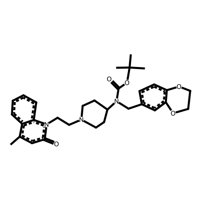 Cc1cc(=O)n(CCN2CCC(N(Cc3ccc4c(c3)OCCO4)C(=O)OC(C)(C)C)CC2)c2ccccc12